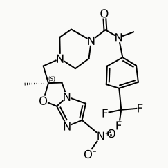 CN(C(=O)N1CCN(C[C@@]2(C)Cn3cc([N+](=O)[O-])nc3O2)CC1)c1ccc(C(F)(F)F)cc1